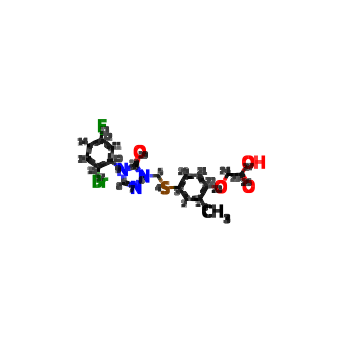 Cc1cc(SCn2ncn(-c3cc(F)ccc3Br)c2=O)ccc1OCC(=O)O